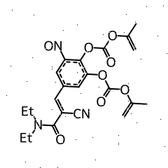 C=C(C)OC(=O)Oc1cc(/C=C(\C#N)C(=O)N(CC)CC)cc(N=O)c1OC(=O)OC(=C)C